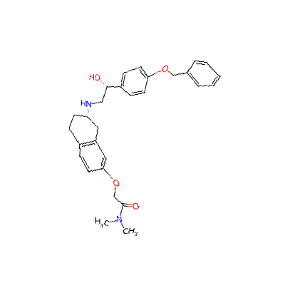 CN(C)C(=O)COc1ccc2c(c1)C[C@@H](NC[C@H](O)c1ccc(OCc3ccccc3)cc1)CC2